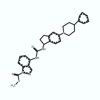 COC(=O)n1ncc2c(NC(=O)NC3CCc4cc(N5CCC(c6ccccc6)CC5)ccc43)cccc21